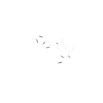 Cc1nc(C(=O)N2CCC[C@@H](N(C)C(=O)NCc3cc4cc(Cl)ccc4[nH]3)C2)co1